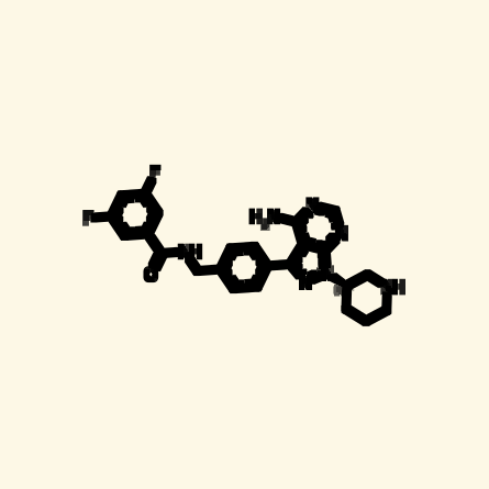 Nc1ncnc2c1c(-c1ccc(CNC(=O)c3cc(F)cc(F)c3)cc1)nn2[C@@H]1CCCNC1